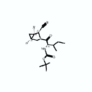 CCC(C)[C@H](NC(=O)OC(C)(C)C)C(=O)N1C[C@H]2C[C@H]2[C@H]1C#N